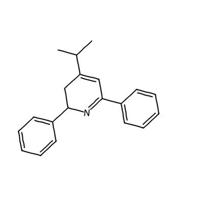 CC(C)C1=CC(c2ccccc2)=NC(c2ccccc2)C1